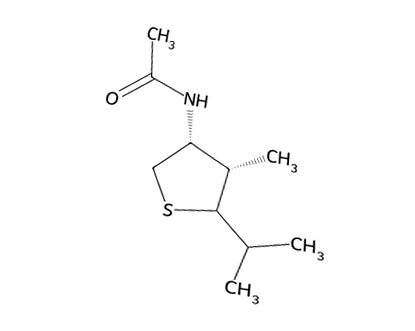 CC(=O)N[C@H]1CSC(C(C)C)[C@H]1C